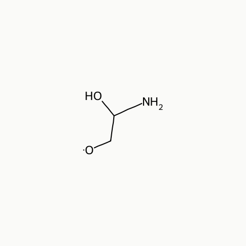 NC(O)C[O]